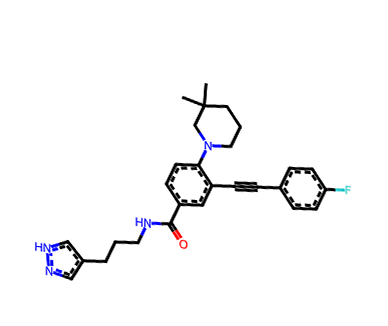 CC1(C)CCCN(c2ccc(C(=O)NCCCc3cn[nH]c3)cc2C#Cc2ccc(F)cc2)C1